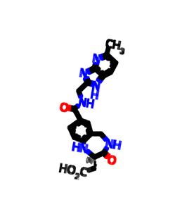 Cc1ccc2[nH]c(CNC(=O)c3ccc4c(c3)CNC(=O)[C@H](CC(=O)O)N4)nc2n1